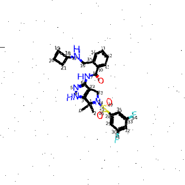 CC1(C)c2[nH]nc(NC(=O)c3ccccc3CNC3CCC3)c2CN1S(=O)(=O)c1cc(F)cc(F)c1